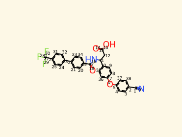 N#Cc1ccc(Oc2ccc(C(CC(=O)O)NC(=O)c3ccc(-c4ccc(C(F)(F)F)cc4)cc3)cc2)cc1